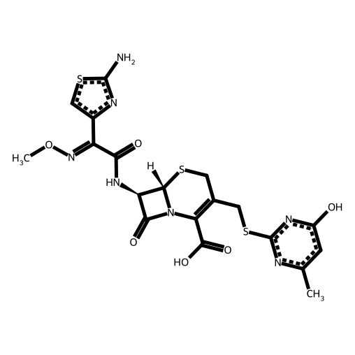 CON=C(C(=O)N[C@@H]1C(=O)N2C(C(=O)O)=C(CSc3nc(C)cc(O)n3)CS[C@@H]12)c1csc(N)n1